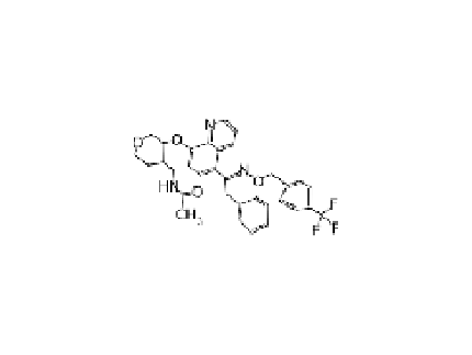 CC(=O)NCC1CCOCC1Oc1ccc(C(Cc2ccccc2)=NOCc2ccc(C(F)(F)F)cc2)c2cccnc12